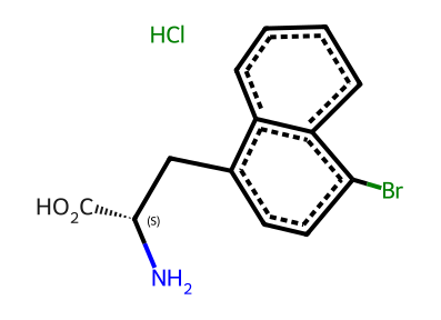 Cl.N[C@@H](Cc1ccc(Br)c2ccccc12)C(=O)O